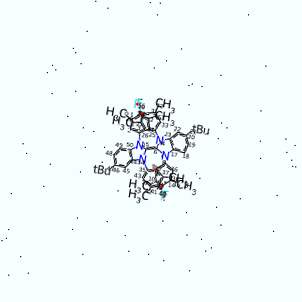 Cc1cc(N2/C(=C3/N(c4cc(C)c(F)c(C)c4)c4ccc(C(C)(C)C)cc4N3c3cc(C)c(F)c(C)c3)N(c3cc(C)c(F)c(C)c3)c3cc(C(C)(C)C)ccc32)cc(C)c1F